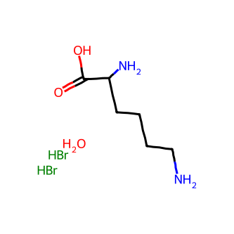 Br.Br.NCCCCC(N)C(=O)O.O